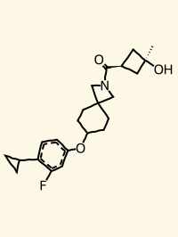 C[C@]1(O)C[C@@H](C(=O)N2CC3(CCC(Oc4ccc(C5CC5)c(F)c4)CC3)C2)C1